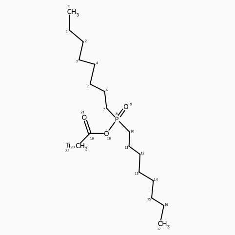 CCCCCCCCP(=O)(CCCCCCCC)OC(C)=O.[Ti]